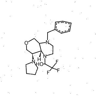 OC(N1CCN(Cc2ccccc2)C2COC[C@H](N3CCCC3)[C@H]21)C(F)(F)F